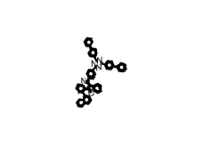 c1ccc(-c2ccc(-c3nc(-c4ccc(-c5ccccc5)cc4)nc(-c4ccc(-c5nc6cccc(-c7cccc8ccccc78)c6c6oc7ccccc7c56)cc4)n3)cc2)cc1